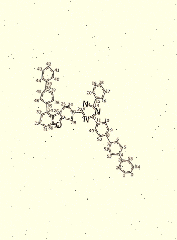 c1ccc(-c2ccc(-c3ccc(-c4nc(-c5ccccc5)nc(-c5ccc6c(c5)oc5cccc(-c7ccc(-c8ccccc8)cc7)c56)n4)cc3)cc2)cc1